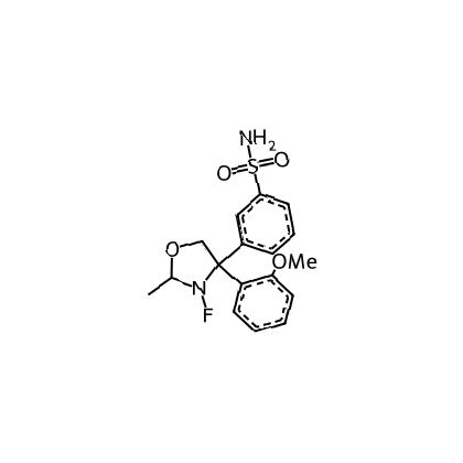 COc1ccccc1C1(c2cccc(S(N)(=O)=O)c2)COC(C)N1F